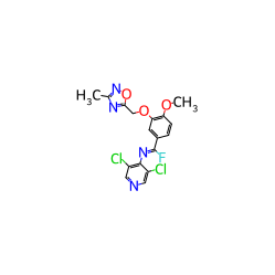 COc1ccc(C(F)=Nc2c(Cl)cncc2Cl)cc1OCc1nc(C)no1